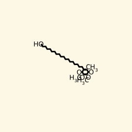 COC1=C(OC)C(=O)C(CCCCCCCCCCCCCCCCCCO)=C(C)C1=O